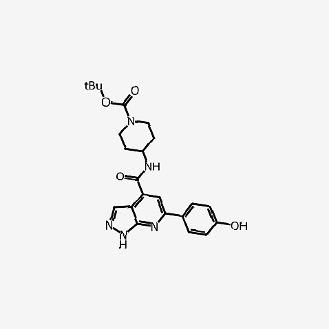 CC(C)(C)OC(=O)N1CCC(NC(=O)c2cc(-c3ccc(O)cc3)nc3[nH]ncc23)CC1